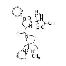 CN1N=C2CCN(C(=O)[C@@H](COc3ccccc3)NC(=O)C(C)(C)NC(=O)O)C[C@@]2(Cc2ccccc2)C1=O